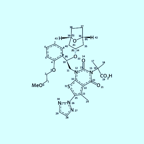 COCCOc1ccccc1[C@H](Cn1c(=O)n(C(C)(C)C(=O)O)c(=O)c2c(C)c(-n3nccn3)sc21)O[C@H]1C[C@H]2CC[C@@H](C1)O2